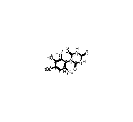 Cc1cc(C(C)(C)C)c(O)c(C)c1-n1c(=O)[nH]c(=O)[nH]c1=O